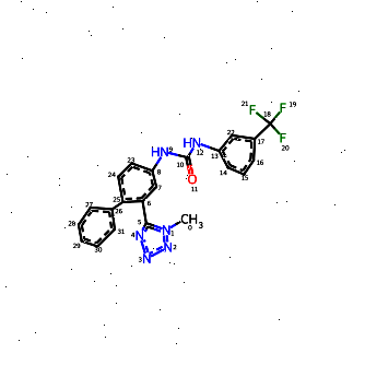 Cn1nnnc1-c1cc(NC(=O)Nc2cccc(C(F)(F)F)c2)ccc1-c1ccccc1